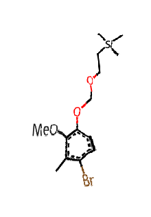 COc1c(OCOCC[Si](C)(C)C)ccc(Br)c1C